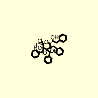 OC(Cc1ccccc1)[C@H]1O[C@@](O)(Cl)[C@@](O)(Cc2ccccc2)[C@](O)(Cc2ccccc2)[C@@]1(O)Cc1ccccc1